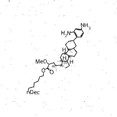 CCCCCCCCCCCCCCCCOC(=O)C(C[C@@H](C)[C@H]1CC[C@H]2[C@@H]3CCC4CC(c5ccc(N)cc5N)CC[C@]4(C)[C@H]3CC[C@]12C)OC